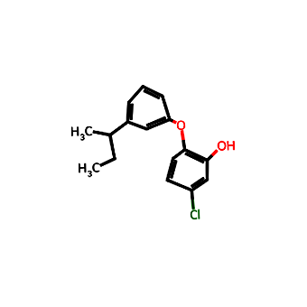 CCC(C)c1cccc(Oc2ccc(Cl)cc2O)c1